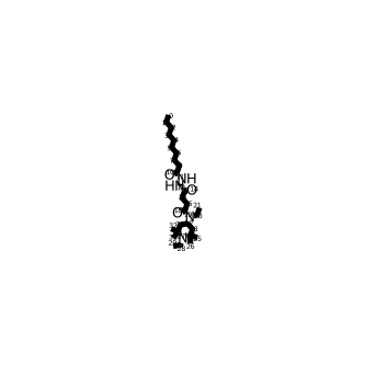 CCCCCCCCCC(=O)NNC(=O)CCC(=O)N(CC)C1CC(C)(C)N(CC)C(C)(C)C1